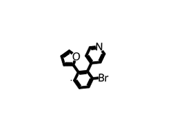 Brc1cc[c]c(-c2ccco2)c1-c1ccncc1